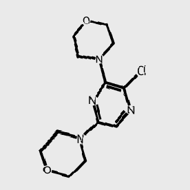 Clc1ncc(N2CCOCC2)nc1N1CCOCC1